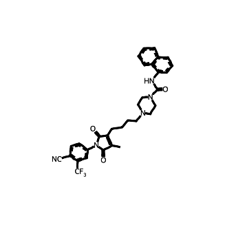 CC1=C(CCCCN2CCN(C(=O)Nc3cccc4ccccc34)CC2)C(=O)N(c2ccc(C#N)c(C(F)(F)F)c2)C1=O